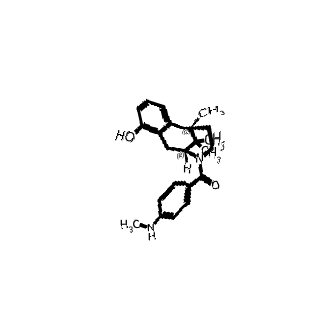 CNc1ccc(C(=O)N2CC[C@@]3(C)c4cccc(O)c4C[C@@H]2C3(C)C)cc1